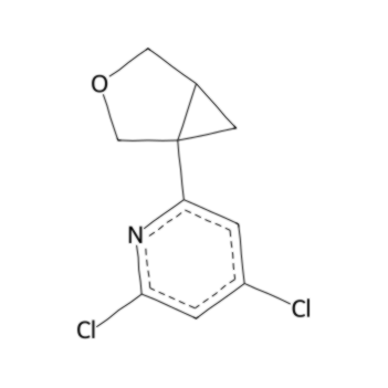 Clc1cc(Cl)nc(C23COCC2C3)c1